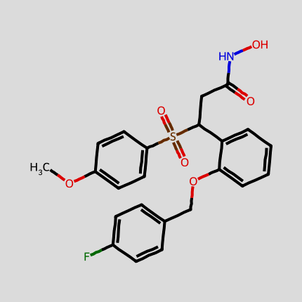 COc1ccc(S(=O)(=O)C(CC(=O)NO)c2ccccc2OCc2ccc(F)cc2)cc1